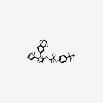 O=C(CSc1cnc(-c2ccco2)n1-c1ccc2c(c1)OCCO2)Nc1ccc(C(F)(F)F)cc1